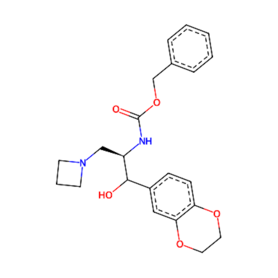 O=C(N[C@H](CN1CCC1)C(O)c1ccc2c(c1)OCCO2)OCc1ccccc1